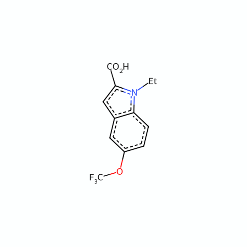 CCn1c(C(=O)O)cc2cc(OC(F)(F)F)ccc21